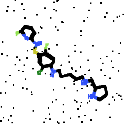 Fc1cccc(NSc2cc(Cl)c(NCCCCCNCC3CCCN3)cc2F)n1